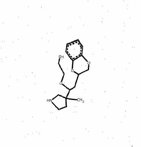 CC1(C(CC2COc3ccccc3O2)OCCO)CCNC1